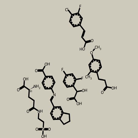 COc1ccc(CCC(=O)O)c(C)c1.N[C@H](CCC(=O)NCCS(=O)(=O)O)C(=O)O.O=C(O)C(O)c1ccc(F)cc1F.O=C(O)C=Cc1ccc(Cl)c(F)c1.O=C(O)c1ccc(N=Cc2ccc3c(c2)CCC3)cc1